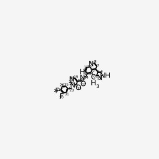 Cc1n[nH]cc1-c1ccnc2ccc(CNC(=O)c3cncn(Cc4ccc(F)c(F)c4)c3=O)cc12